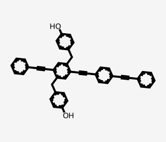 Oc1ccc(Cc2cc(C#Cc3ccc(C#Cc4ccccc4)cc3)c(Cc3ccc(O)cc3)cc2C#Cc2ccccc2)cc1